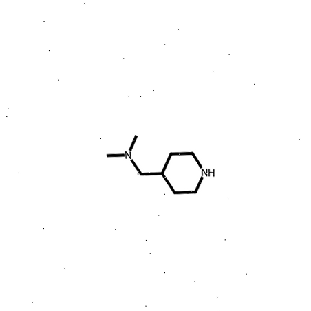 CN(C)[CH]C1CCNCC1